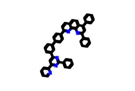 C1=CCCC(c2cc(-c3ccccc3)c3ccc4ccc(-c5ccc(-c6cccc(-c7cc(-c8ccccn8)nc(-c8ccccc8)n7)c6)cc5)nc4c3n2)=C1